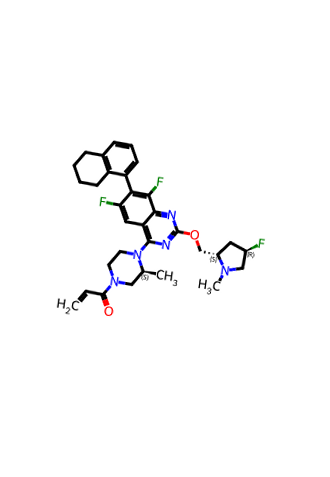 C=CC(=O)N1CCN(c2nc(OC[C@@H]3C[C@@H](F)CN3C)nc3c(F)c(-c4cccc5c4CCCC5)c(F)cc23)[C@@H](C)C1